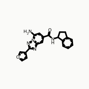 Nc1cc(C(=O)NC2CCc3ccccc32)cc2nc(-c3ccoc3)nn12